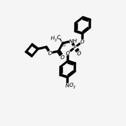 C[C@H](NP(=O)(Oc1ccccc1)Oc1ccc([N+](=O)[O-])cc1)C(=O)OCC1CCC1